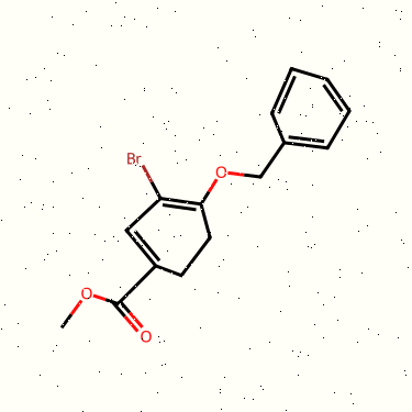 COC(=O)C1=CC(Br)=C(OCc2ccccc2)CC1